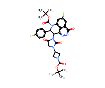 CC(C)(C)OC(=O)N1CC(N2CC(=O)N(C3c4n[nH]c(=O)c5cc(F)cc(c45)N(C(=O)OC(C)(C)C)C3c3ccc(F)cc3)C2=O)C1